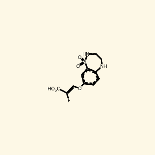 O=C(O)C(F)=COc1ccc2c(c1)S(=O)(=O)NCCN2